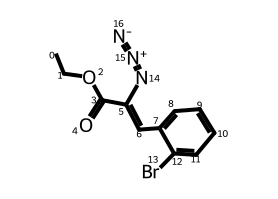 CCOC(=O)C(=Cc1ccccc1Br)N=[N+]=[N-]